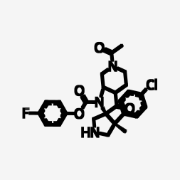 CC(=O)N1CCC(C(=O)[C@@]2(N(C)C(=O)Oc3ccc(F)cc3)CNC[C@@]2(C)c2ccc(Cl)cc2)CC1